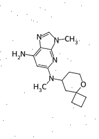 CN(c1cc(N)c2ncn(C)c2n1)C1CCOC2(CCC2)C1